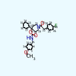 COc1ccc(CNC(=O)OC2(c3ccccc3)CCN(C(=O)Cc3ccc(F)cc3)CC2)cc1